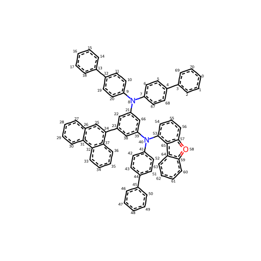 c1ccc(-c2ccc(N(c3ccc(-c4ccccc4)cc3)c3cc(-c4cc5ccccc5c5ccccc45)cc(N(c4ccc(-c5ccccc5)cc4)c4cccc5oc6ccccc6c45)c3)cc2)cc1